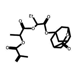 C=C(C)C(=O)OC(C)C(=O)OC(CC)C(=O)OC12CC3CC(C1)OC(=O)C(C3)C2